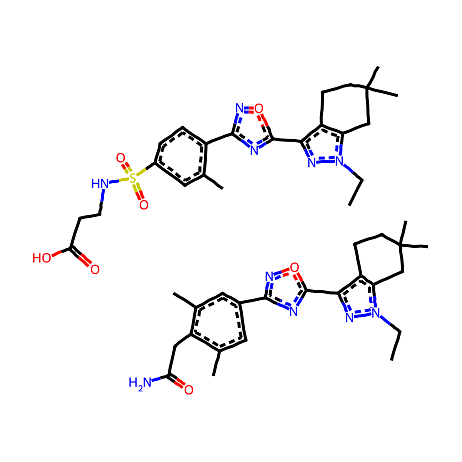 CCn1nc(-c2nc(-c3cc(C)c(CC(N)=O)c(C)c3)no2)c2c1CC(C)(C)CC2.CCn1nc(-c2nc(-c3ccc(S(=O)(=O)NCCC(=O)O)cc3C)no2)c2c1CC(C)(C)CC2